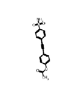 CC(=O)Oc1ccc(C#Cc2ccc(S(N)(=O)=O)cc2)cc1